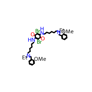 CCN(CCCCCCNC1=C(Br)C(=O)C(NCCCCCCN(CC)Cc2ccccc2OC)=C(Br)C1=O)Cc1ccccc1OC